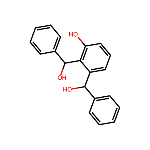 Oc1cccc(C(O)c2ccccc2)c1C(O)c1ccccc1